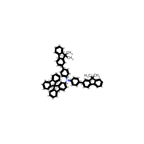 CC1(C)c2ccccc2-c2ccc(-c3ccc(N(c4ccc(-c5ccc6c(c5)C(C)(C)c5ccccc5-6)cc4)c4ccc5c(c4)C4(c6ccccc6-c6ccccc64)c4ccccc4-5)cc3)cc21